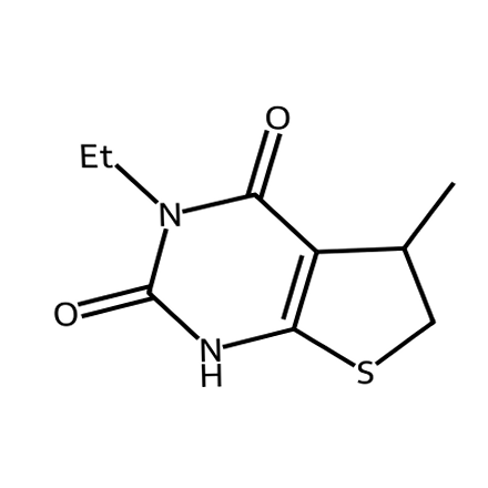 CCn1c(=O)[nH]c2c(c1=O)C(C)CS2